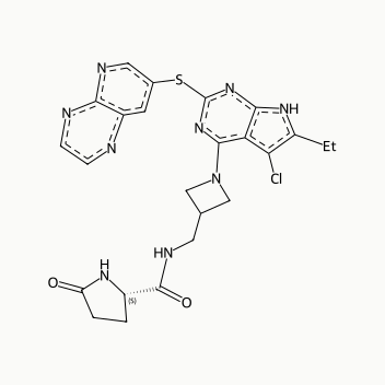 CCc1[nH]c2nc(Sc3cnc4nccnc4c3)nc(N3CC(CNC(=O)[C@@H]4CCC(=O)N4)C3)c2c1Cl